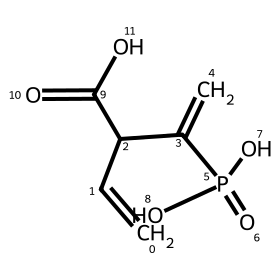 C=CC(C(=C)P(=O)(O)O)C(=O)O